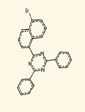 Brc1cccc2c(-c3nc(-c4ccccc4)nc(-c4ccccc4)n3)cccc12